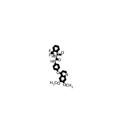 COc1cc2nccc(Oc3ccc(NC(=O)NN(C=O)c4ccccc4C(F)(F)F)cc3)c2cc1OC